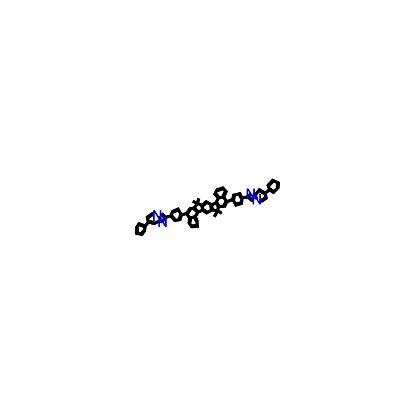 CC1(C)c2cc3c(cc2-c2c1cc(-c1ccc(-c4cn5ccc(-c6ccccc6)cc5n4)cc1)c1ccccc21)C(C)(C)c1cc(-c2ccc(-c4cn5ccc(-c6ccccc6)cc5n4)cc2)c2ccccc2c1-3